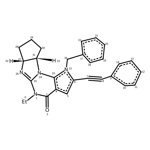 CCN1C(=O)c2cc(C#Cc3ccccc3)n(Cc3ccccc3)c2N2C1=N[C@@H]1CCC[C@@H]12